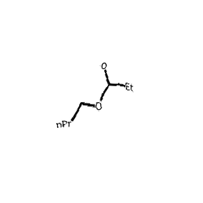 CCCCOC([O])CC